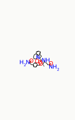 C[C@@H](OCc1ccc(CC(N)=O)cc1)[C@H](CCC(N)=O)NC(=O)[C@@H]1Cc2cccc3c2N1C(=O)CCC3